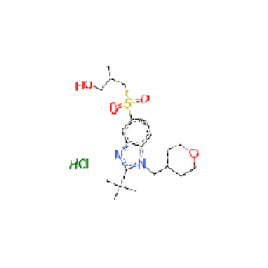 CC(CO)CS(=O)(=O)c1ccc2c(c1)nc(C(C)(C)C)n2CC1CCOCC1.Cl